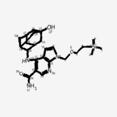 C[Si](C)(C)CCOCn1ccc2c(NC3C4CC5CC3CC(O)(C5)C4)c(C(N)=O)cnc21